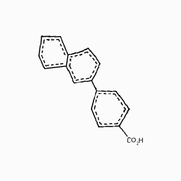 O=C(O)c1ccc(-c2ccc3ccccc3c2)cc1